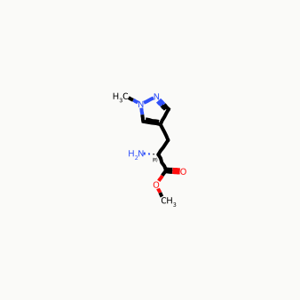 COC(=O)[C@H](N)Cc1cnn(C)c1